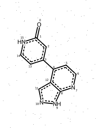 O=c1cc(-c2ccnc3[nH]ncc23)cc[nH]1